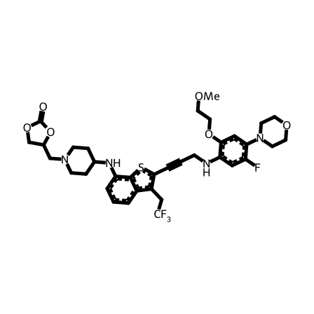 COCCOc1cc(N2CCOCC2)c(F)cc1NCC#Cc1sc2c(NC3CCN(CC4COC(=O)O4)CC3)cccc2c1CC(F)(F)F